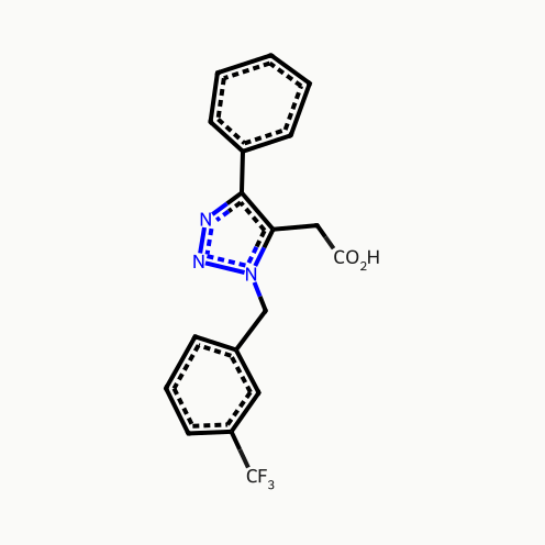 O=C(O)Cc1c(-c2ccccc2)nnn1Cc1cccc(C(F)(F)F)c1